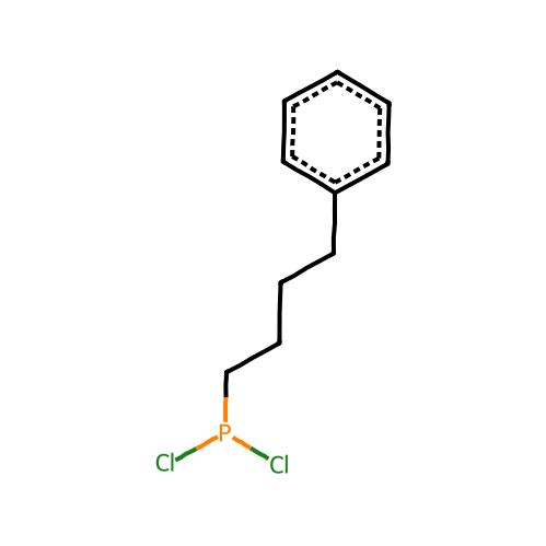 ClP(Cl)CCCCc1ccccc1